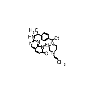 CC=CN1CCN(C(CC)c2ccc([C@H](C)Nc3ncc4ccc(=O)n(CC)c4n3)cc2)CC1